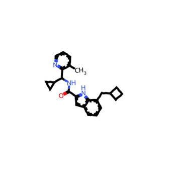 Cc1cccnc1C(NC(=O)c1cc2cccc(CC3CCC3)c2[nH]1)C1CC1